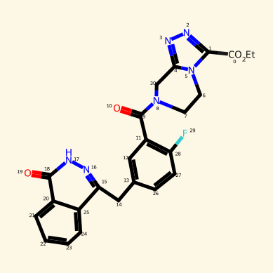 CCOC(=O)c1nnc2n1CCN(C(=O)c1cc(Cc3n[nH]c(=O)c4ccccc34)ccc1F)C2